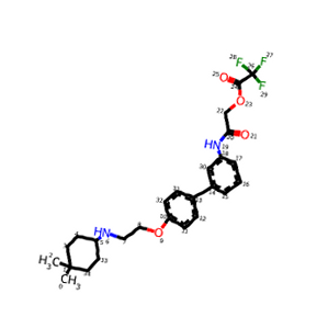 CC1(C)CCC(NCCOc2ccc(-c3cccc(NC(=O)COC(=O)C(F)(F)F)c3)cc2)CC1